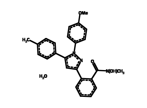 COc1ccc(-n2nc(-c3ccccc3C(=O)N(C)O)cc2-c2ccc(C)cc2)cc1.O